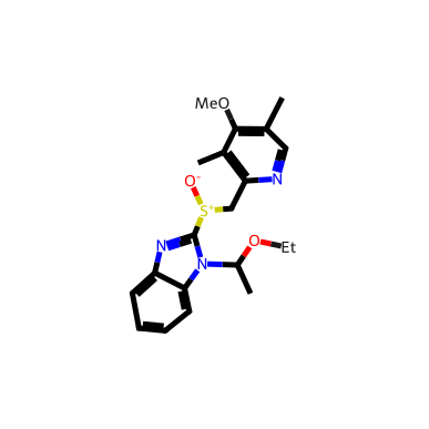 CCOC(C)n1c([S+]([O-])Cc2ncc(C)c(OC)c2C)nc2ccccc21